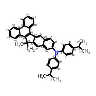 CC(C)c1ccc(N(c2ccc(C(C)C)cc2)c2ccc3cc4c(cc3c2)C(C)(C)c2c-4c3ccccc3c3ccccc23)cc1